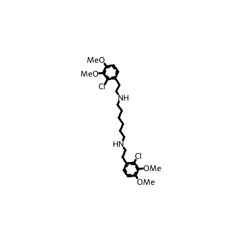 COc1ccc(CCNCCCCCCNCCc2ccc(OC)c(OC)c2Cl)c(Cl)c1OC